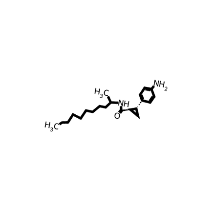 CCCCCCCCCC(C)NC(=O)[C@@H]1C[C@H]1c1ccc(N)cc1